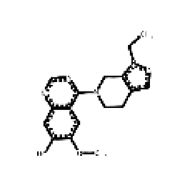 CCn1ncc2c1CN(c1ncnc3cc(O)c(OC)cc13)CC2